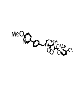 COC[C@@]1(C(=O)COc2ccc(Cl)s2)NCCN(Cc2ccc(-c3ccc(OC)nc3)cc2)C1=O